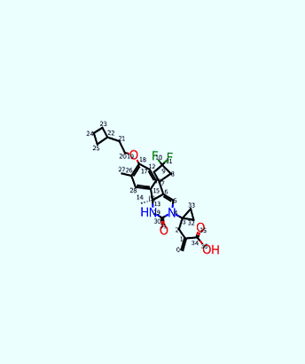 C=C(CC1(N2C=C(C3CC(F)(F)C3)[C@](C)(c3ccc(OCCC4CCC4)c(C)c3)NC2=O)CC1)C(=O)O